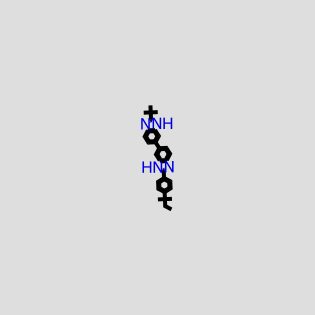 CCC(C)(C)c1ccc(-c2nc3ccc(-c4ccc5nc(C(C)(C)C)[nH]c5c4)cc3[nH]2)cc1